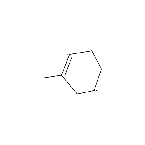 CC1=[C]CC[CH]C1